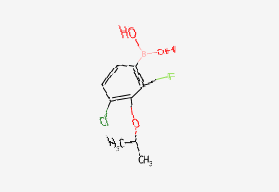 CC(C)Oc1c(Cl)ccc(B(O)O)c1F